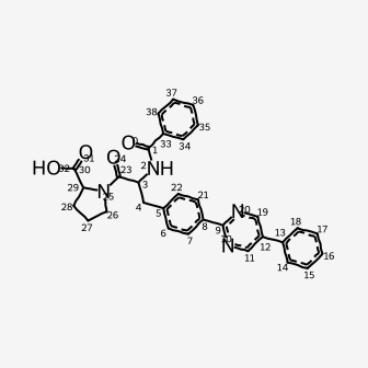 O=C(NC(Cc1ccc(-c2ncc(-c3ccccc3)cn2)cc1)C(=O)N1CCCC1C(=O)O)c1ccccc1